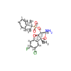 BC(B)(c1ccccc1)S(=O)(=O)OC1=C(N)O[C@](B)(c2ccc(F)c(Cl)c2)C1=O